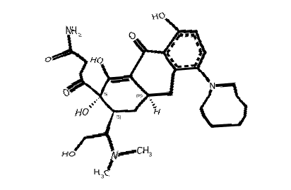 CN(C)C(CO)[C@@H]1C[C@@H]2Cc3c(N4CCCCC4)ccc(O)c3C(=O)C2=C(O)[C@]1(O)C(=O)CC(N)=O